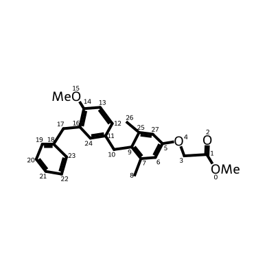 COC(=O)COc1cc(C)c(Cc2ccc(OC)c(Cc3ccccc3)c2)c(C)c1